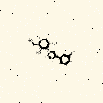 OC[C@H]1OC[C@H](O)[C@@H](n2cc(-c3cccc(F)c3)nn2)[C@H]1O